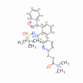 CN(C)C(=O)CCc1cccc(CC(N[S@@+]([O-])C(C)(C)C)c2ccccc2-c2noc3ccccc23)n1